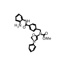 COC(=O)N(Cc1ccc(C(=O)Nc2ccccc2N)cc1)C1=CN(c2ccccc2)CO1